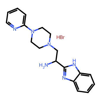 Br.NC(CN1CCN(c2ccccn2)CC1)c1nc2ccccc2[nH]1